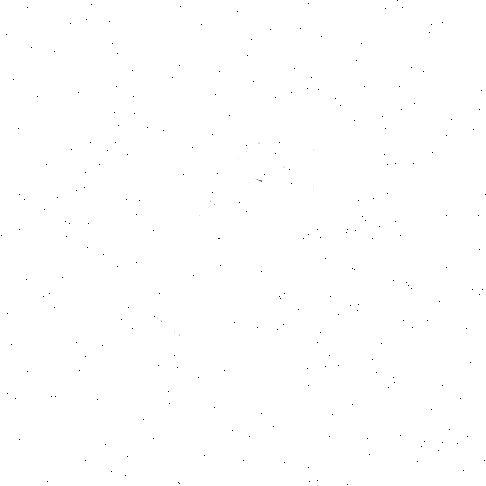 Cc1n[nH]c(C)c1-c1ccc2c(-c3cc(F)c4c(c3C)CCCO4)c([C@H](OC(C)(C)C)C(=O)O)n(C)c(=O)c2c1